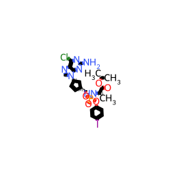 CC(C)OC(=O)[C@H](C)NP(=O)(OC[C@@H]1C=C[C@H](n2cnc3c(Cl)nc(N)nc32)C1)Oc1ccc(I)cc1